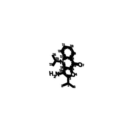 CC(C)c1oc2c(=O)c3ccccc3n(C(C)C)c2c1N